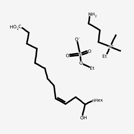 CCCCCCC(O)C/C=C\CCCCCCCC(=O)O.CCOS(=O)(=O)[O-].CC[N+](C)(C)CCCN